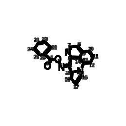 O=C(ON=c1c2nccc3cccc(c32)n2cccc12)c1ccccc1